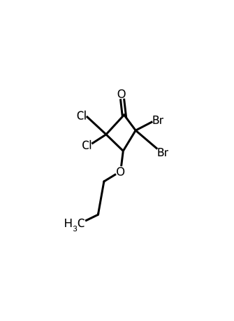 CCCOC1C(Cl)(Cl)C(=O)C1(Br)Br